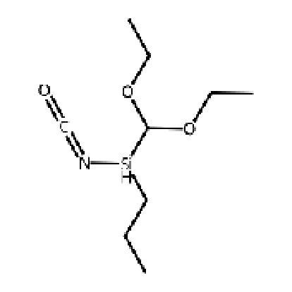 CCC[SiH](N=C=O)C(OCC)OCC